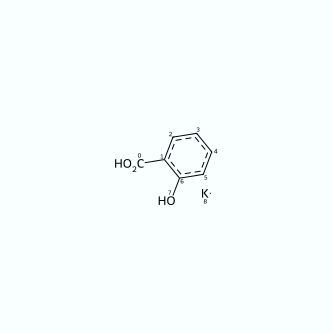 O=C(O)c1ccccc1O.[K]